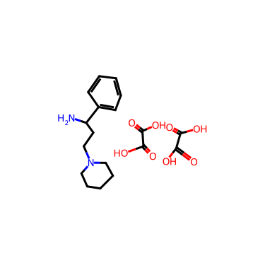 NC(CCN1CCCCC1)c1ccccc1.O=C(O)C(=O)O.O=C(O)C(=O)O